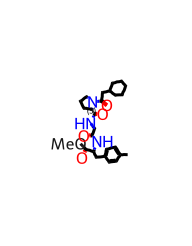 COC(=O)C(Cc1ccc(C)cc1)NC(=O)CNC(=O)[C@@H]1CCCN1C(=O)CC1CCCCC1